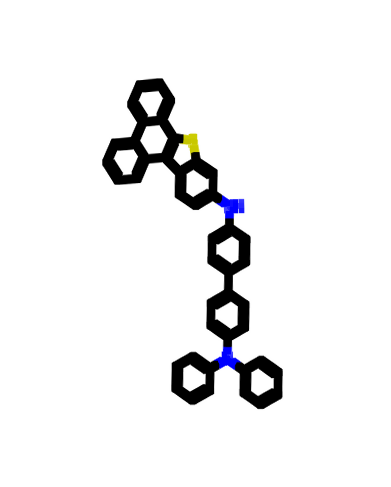 c1ccc(N(c2ccccc2)c2ccc(-c3ccc(Nc4ccc5c(c4)sc4c6ccccc6c6ccccc6c54)cc3)cc2)cc1